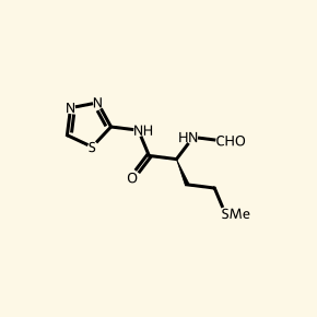 CSCC[C@H](NC=O)C(=O)Nc1nncs1